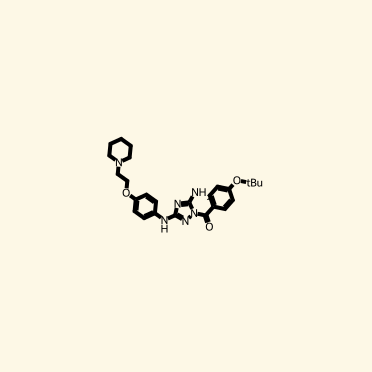 CC(C)(C)Oc1ccc(C(=O)n2nc(Nc3ccc(OCCN4CCCCC4)cc3)nc2N)cc1